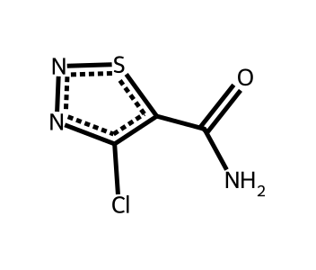 NC(=O)c1snnc1Cl